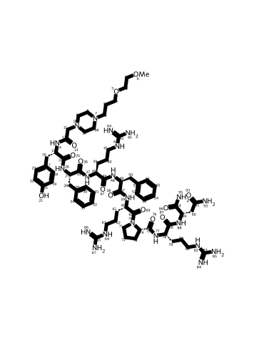 COCCOCCCN1CCN(CC(=O)N[C@@H](Cc2ccc(O)cc2)C(=O)N[C@@H](Cc2ccccc2)C(=O)N[C@@H](CCCNC(=N)N)C(=O)N[C@@H](Cc2ccccc2)C(=O)N[C@@H](CCCNC(=N)N)C(=O)N2CCC[C@H]2C(=O)N[C@@H](CCCNC(=N)N)C(=O)N[C@@H](CC(N)=O)C(N)=O)CC1